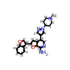 CC(=O)N1CCC(n2cc(-c3cnc(N)c4oc(-c5coc6ccccc56)cc34)cn2)CC1